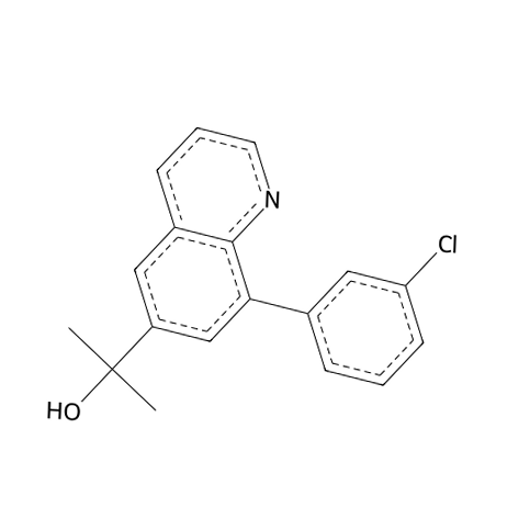 CC(C)(O)c1cc(-c2cccc(Cl)c2)c2ncccc2c1